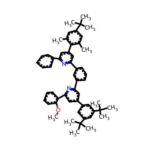 COc1ccccc1-c1cc(-c2cc(C(C)(C)C)cc(C(C)(C)C)c2)cc(-c2cccc(-c3cc(-c4c(C)cc(C(C)(C)C)cc4C)cc(-c4ccccc4)n3)c2)n1